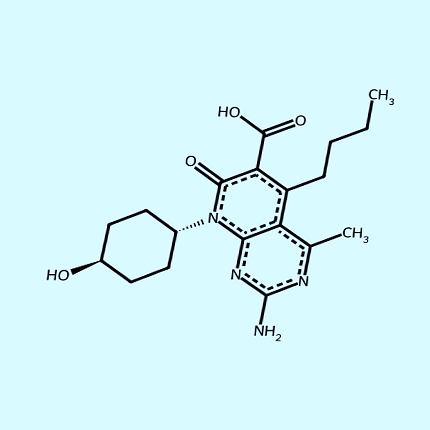 CCCCc1c(C(=O)O)c(=O)n([C@H]2CC[C@H](O)CC2)c2nc(N)nc(C)c12